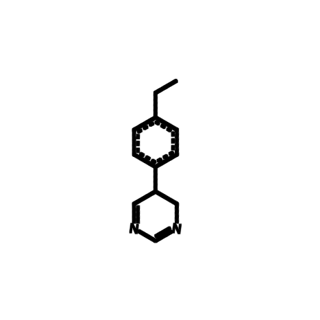 CCc1ccc(C2C=NC=NC2)cc1